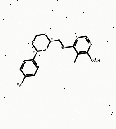 Cc1c(NC[C@@H]2CCC[C@H](c3ccc(C(F)(F)F)cc3)O2)ncnc1C(=O)O